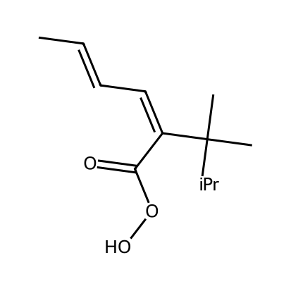 CC=CC=C(C(=O)OO)C(C)(C)C(C)C